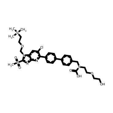 C[Si](C)(C)CCOCn1c(S(C)(=O)=O)nc2nc(-c3ccc(-c4ccc(CN(CCOCCO)C(=O)O)cc4)cc3)c(Cl)cc21